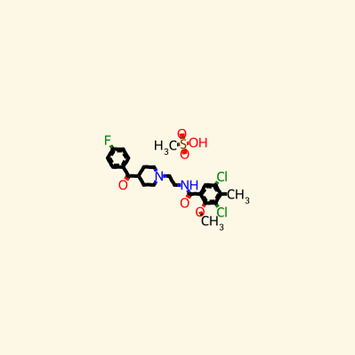 COc1c(C(=O)NCCN2CCC(C(=O)c3ccc(F)cc3)CC2)cc(Cl)c(C)c1Cl.CS(=O)(=O)O